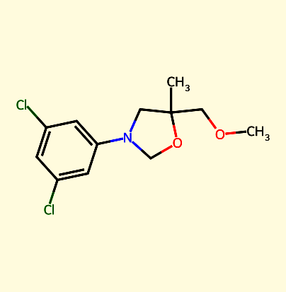 COCC1(C)CN(c2cc(Cl)cc(Cl)c2)CO1